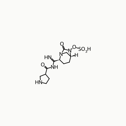 N=C(NC(=O)C1CCNC1)[C@@H]1CC[C@@H]2CN1C(=O)N2OS(=O)(=O)O